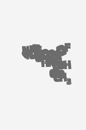 CS(=O)(=O)CC[C@H](NC(=O)c1cc(OC(Cn2ccnc2)c2nccs2)ccc1CCc1ccc(F)cc1)C(=O)O